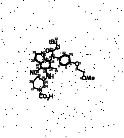 COCCOc1ccc(N(C(=O)OC(C)(C)C)c2c(C)c(N[C@@H]3CCCN(C(=O)O)C3)c(C#N)c3ccnn23)cc1